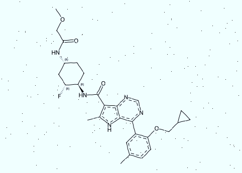 COCC(=O)N[C@@H]1CC[C@@H](NC(=O)c2c(C)[nH]c3c(-c4cc(C)ccc4OCC4CC4)ncnc23)[C@H](F)C1